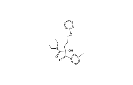 CCN(CC)C(=O)C(O)(CCCOc1ccccc1)C(=O)c1cccc(C)c1